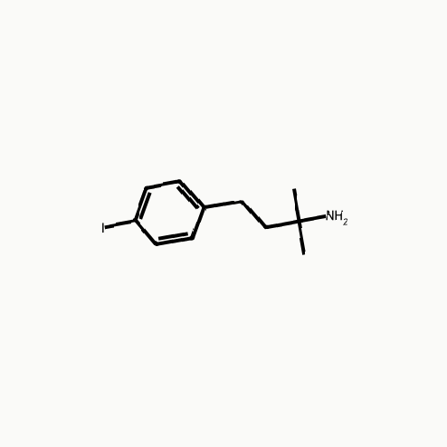 CC(C)(N)CCc1ccc(I)cc1